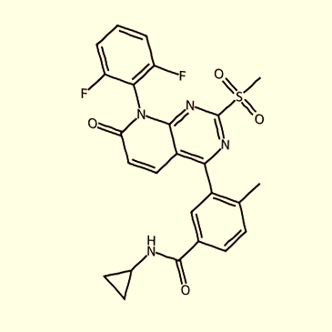 Cc1ccc(C(=O)NC2CC2)cc1-c1nc(S(C)(=O)=O)nc2c1ccc(=O)n2-c1c(F)cccc1F